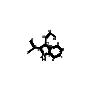 C=C(C)c1[nH]c2ccccc2c1/C=C\C